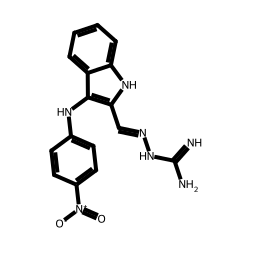 N=C(N)NN=Cc1[nH]c2ccccc2c1Nc1ccc([N+](=O)[O-])cc1